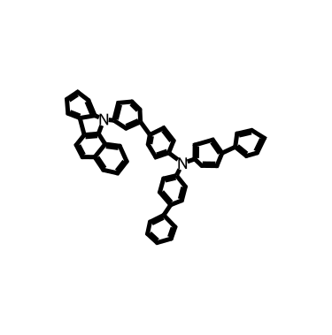 c1ccc(-c2ccc(N(c3ccc(-c4ccccc4)cc3)c3ccc(-c4cccc(-n5c6ccccc6c6ccc7ccccc7c65)c4)cc3)cc2)cc1